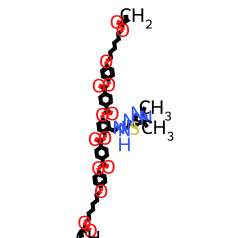 C=CC(=O)OCCCCCCOc1ccc(OC(=O)C2CCC(C(=O)Oc3ccc(OC(=O)C4CCC(C(=O)Oc5ccc(OCCCCCCOC(=O)C=C)cc5)CC4)c(/C=N/Nc4nc5nc(C)nc(C)c5s4)c3)CC2)cc1